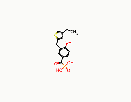 CCc1csc(Cc2cc(C(=O)P(=O)(O)O)ccc2O)c1